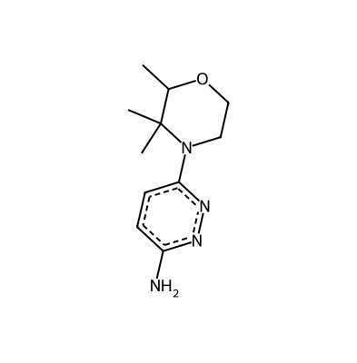 CC1OCCN(c2ccc(N)nn2)C1(C)C